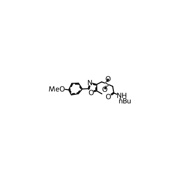 CCCCNC(=O)CS(=O)(=O)Cc1nc(-c2ccc(OC)cc2)oc1C